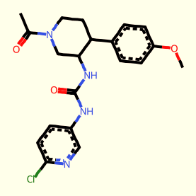 COc1ccc(C2CCN(C(C)=O)CC2NC(=O)Nc2ccc(Cl)nc2)cc1